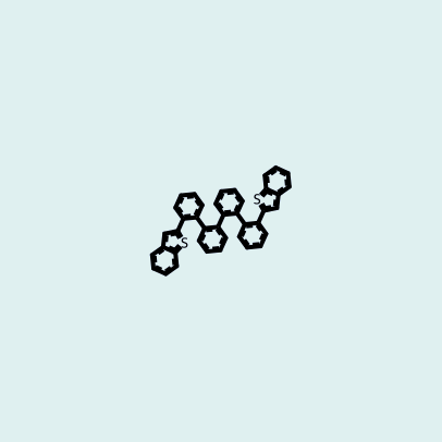 c1ccc(-c2ccccc2-c2ccccc2-c2ccccc2-c2cc3ccccc3s2)c(-c2cc3ccccc3s2)c1